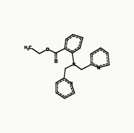 CCOC(=O)c1ccccc1N(Cc1ccccn1)Cc1ccccn1